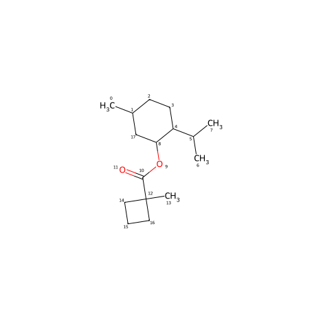 CC1CCC(C(C)C)C(OC(=O)C2(C)CCC2)C1